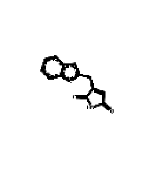 O=C1C=C(Cc2cc3ccccc3s2)C(=O)N1